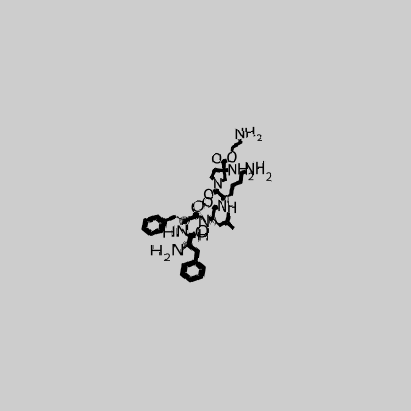 CC(C)C[C@@H](NC(=O)[C@@H](Cc1ccccc1)NC(=O)[C@H](N)Cc1ccccc1)C(=O)N[C@H](CCCCN)C(=O)N1CCC(N)(C(=O)OCCN)C1